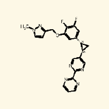 Cn1ccc(COc2cc([C@@H]3C[C@H]3c3cnc(-c4ncccn4)nc3)cc(F)c2F)n1